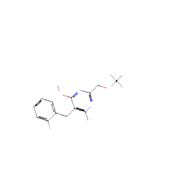 COc1nc(COC(C)(C)C)nc(C)c1Cc1ccccc1Cl